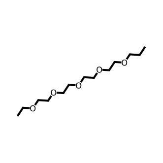 CCCOCCOCCOCCOCCOCC